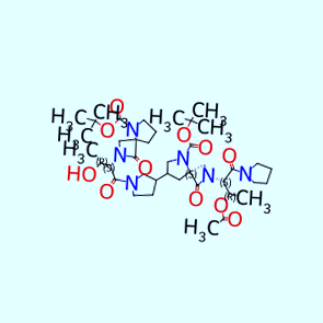 CC(=O)O[C@H](C)[C@@H](C(=O)N1CCCC1)N1C[C@@]2(CC(C3CCN(C(=O)[C@H]([C@@H](C)O)N4CC5(CCCN5C(=O)OC(C)(C)C)C4=O)C3)CN2C(=O)OC(C)(C)C)C1=O